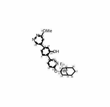 COc1cc(-c2ccc(-c3ccc(O[C@H]4CC5CCCC(N5)[C@H]4F)nn3)c(O)c2)cnn1